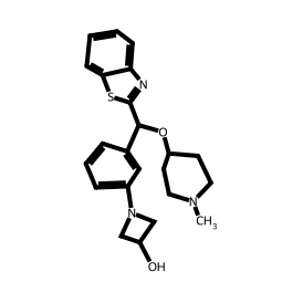 CN1CCC(OC(c2cccc(N3CC(O)C3)c2)c2nc3ccccc3s2)CC1